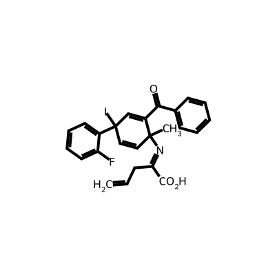 C=CCC(=NC1(C)C=CC(I)(c2ccccc2F)C=C1C(=O)c1ccccc1)C(=O)O